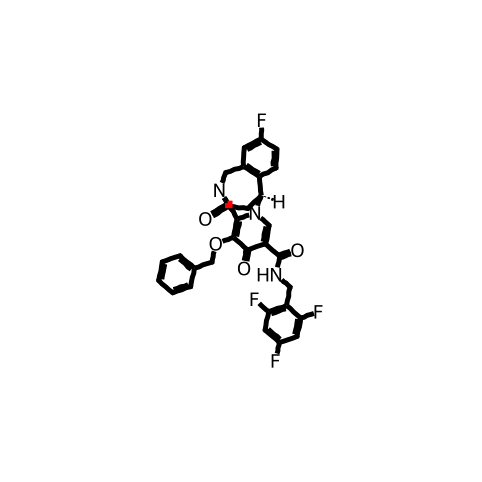 O=C(NCc1c(F)cc(F)cc1F)c1cn2c(c(OCc3ccccc3)c1=O)C(=O)N1CC[C@H]2c2ccc(F)cc2C1